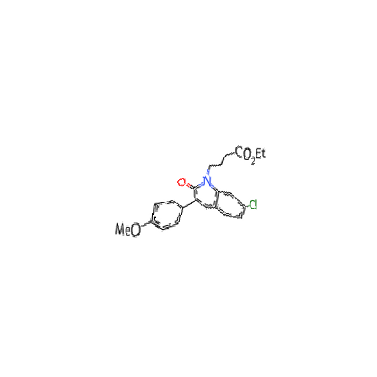 CCOC(=O)CCCn1c(=O)c(-c2ccc(OC)cc2)cc2ccc(Cl)cc21